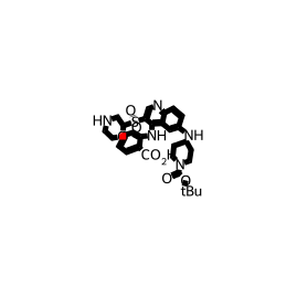 CC(C)(C)OC(=O)N1CCC(Nc2ccc3ncc(S(=O)(=O)C4CNCCO4)c(Nc4ccccc4C(=O)O)c3c2)CC1